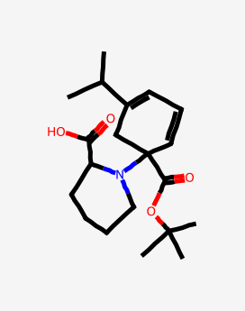 CC(C)C1=CC=CC(C(=O)OC(C)(C)C)(N2CCCCC2C(=O)O)C1